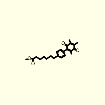 COC(=O)CCCCCCc1ccc(C2=C(C)C(=O)C(C)=C(C)C2=O)cc1